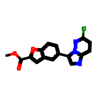 COC(=O)c1cc2cc(-c3cnc4ccc(Cl)nn34)ccc2o1